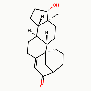 C[C@]12CC[C@H]3[C@@H](CCC4=CC(=O)C5CCC[C@]43C5)[C@@H]1CC[C@@H]2O